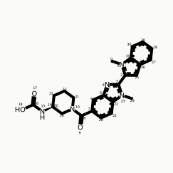 Cn1c(-c2nc3cc(C(=O)N4CCC[C@H](NC(=O)O)C4)ccc3n2C)cc2ccccc21